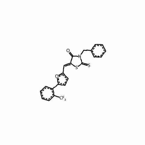 O=C1C(=Cc2ccc(-c3ccccc3C(F)(F)F)o2)SC(=S)N1Cc1ccccc1